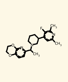 Cc1cc(C2CCCN(C(C)c3ccc4c(n3)OCCO4)C2)c(F)c(C)n1